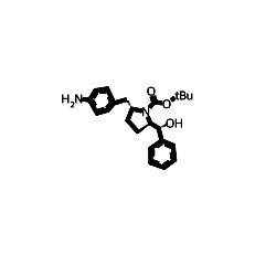 CC(C)(C)OC(=O)N1[C@@H](Cc2ccc(N)cc2)CC[C@@H]1[C@H](O)c1ccccc1